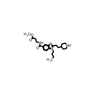 CCCCn1c(CCC2CCNCC2)nc2cc(C(=O)NCCC(=O)OC)ccc21